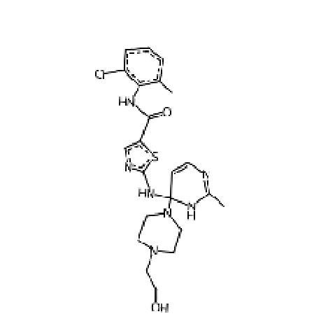 CC1=NC=CC(Nc2ncc(C(=O)Nc3c(C)cccc3Cl)s2)(N2CCN(CCO)CC2)N1